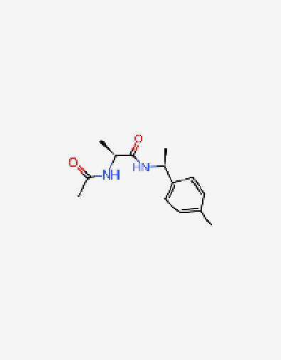 CC(=O)N[C@@H](C)C(=O)N[C@@H](C)c1ccc(C)cc1